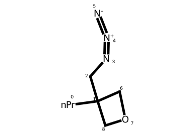 CCCC1(CN=[N+]=[N-])COC1